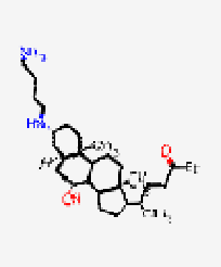 CCC(=O)CC[C@@H](C)[C@H]1CCC2C3C(CC[C@@]21C)[C@@]1(C)CC[C@@H](NCCCCN)C[C@@H]1C[C@H]3O